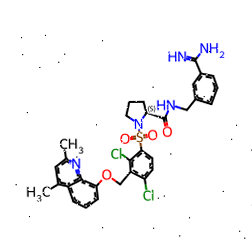 Cc1cc(C)c2cccc(OCc3c(Cl)ccc(S(=O)(=O)N4CCC[C@H]4C(=O)NCc4cccc(C(=N)N)c4)c3Cl)c2n1